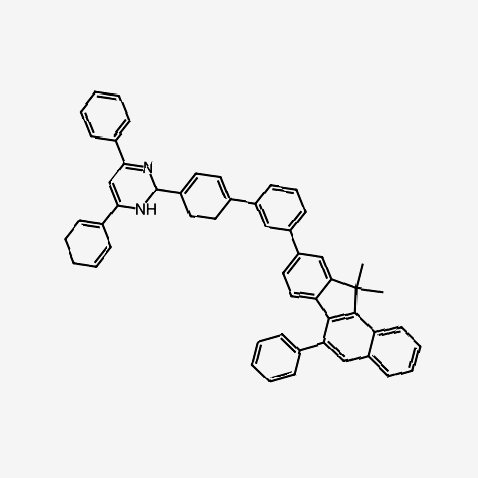 CC1(C)c2cc(-c3cccc(C4=CC=C(C5N=C(c6ccccc6)C=C(C6=CCCC=C6)N5)CC4)c3)ccc2-c2c(-c3ccccc3)cc3ccccc3c21